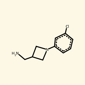 NCC1CN(c2cccc(Cl)c2)C1